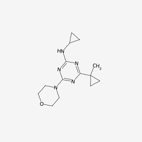 CC1(c2nc(NC3CC3)nc(N3CCOCC3)n2)CC1